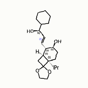 CC(C)[C@@]12CC[C@H](O)[C@@H](/C=C/[C@@H](O)C3CCCCC3)[C@@H]1CC21OCCO1